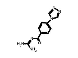 NC(N)=NC(=O)c1ccc(-n2cnnc2)cc1